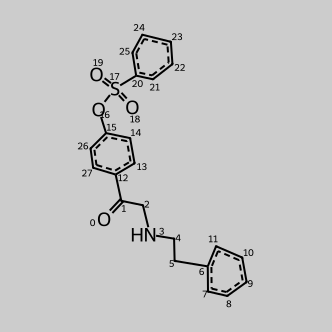 O=C(CNCCc1ccccc1)c1ccc(OS(=O)(=O)c2ccccc2)cc1